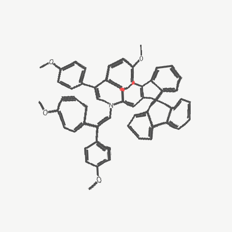 COC1=CC=C(/C(=C\N(C=C(c2ccc(OC)cc2)c2ccc(OC)cc2)C2=CC3=C(CC2)c2ccccc2C32c3ccccc3-c3ccccc32)c2ccc(OC)cc2)CC#C1